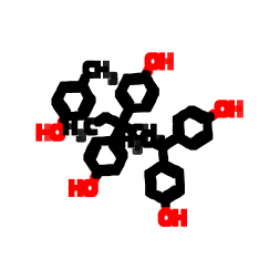 CC(c1ccc(O)cc1)c1ccc(O)cc1.CCC(C)(c1ccc(O)cc1)c1ccc(O)cc1.Cc1ccc(O)cc1